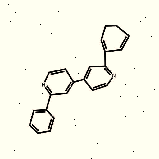 C1=CC(c2cc(-c3ccnc(-c4ccccc4)c3)ccn2)=CCC1